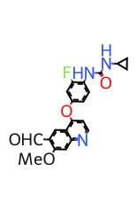 COc1cc2nccc(Oc3ccc(NC(=O)NC4CC4)c(F)c3)c2cc1C=O